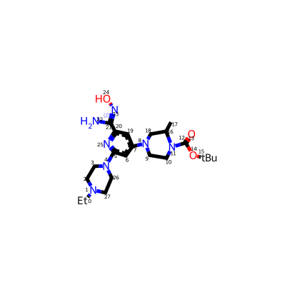 CCN1CCN(c2cc(N3CCN(C(=O)OC(C)(C)C)C(C)C3)cc(/C(N)=N/O)n2)CC1